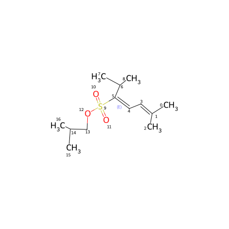 CC(C)=C/C=C(\C(C)C)S(=O)(=O)OCC(C)C